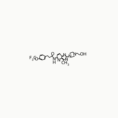 Cc1nc(N2CCN(CCO)CC2)nc2ccc(NC(=O)CCc3ccc(OC(F)(F)F)cc3)nc12